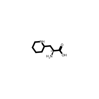 N[C@@H](CC1CCCCN1)C(=O)O